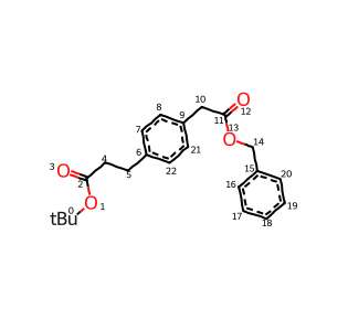 CC(C)(C)OC(=O)CCc1ccc(CC(=O)OCc2ccccc2)cc1